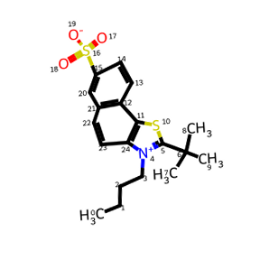 CCCC[n+]1c(C(C)(C)C)sc2c3ccc(S(=O)(=O)[O-])cc3ccc21